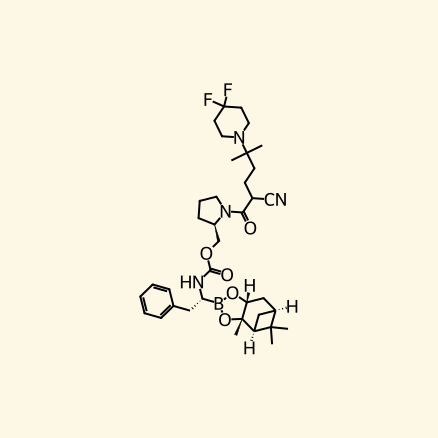 CC1(C)[C@@H]2C[C@H]3OB([C@H](Cc4ccccc4)NC(=O)OC[C@H]4CCCN4C(=O)C(C#N)CCC(C)(C)N4CCC(F)(F)CC4)O[C@@]3(C)[C@H]1C2